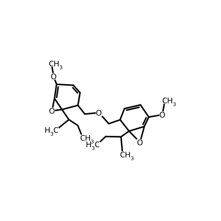 CCC(C)C12OC1=C(OC)C=CC2COCC1C=CC(OC)=C2OC21C(C)CC